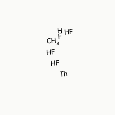 C.F.F.F.F.[Th]